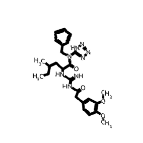 CCC(C)CC(NC(=N)NC(=O)Cc1ccc(OC)c(OC)c1)C(=O)N(Cc1ccccc1)c1nnn[nH]1